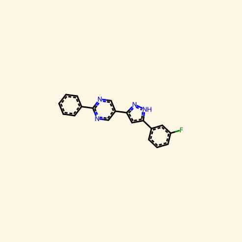 Fc1cccc(-c2cc(-c3cnc(-c4ccccc4)nc3)n[nH]2)c1